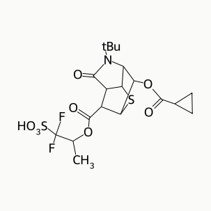 CC(OC(=O)C1C2SC3C1C(=O)N(C(C)(C)C)C3C2OC(=O)C1CC1)C(F)(F)S(=O)(=O)O